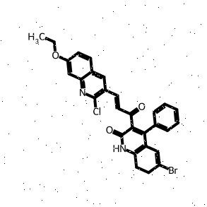 CCOc1ccc2cc(C=CC(=O)c3c(-c4ccccc4)c4c([nH]c3=O)CCC(Br)=C4)c(Cl)nc2c1